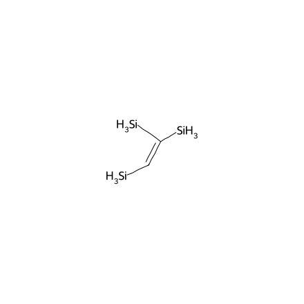 [SiH3]C=C([SiH3])[SiH3]